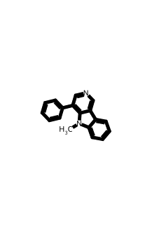 Cn1c2ccccc2c2cncc(-c3ccccc3)c21